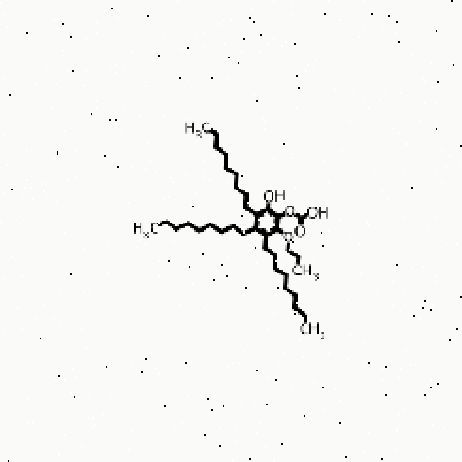 CCCCCCCCCc1c(O)c(OC(=O)O)c(OCCC)c(CCCCCCCCC)c1CCCCCCCCC